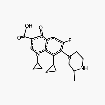 CC1CN(c2c(F)cc3c(=O)c(C(=O)O)cn(C4CC4)c3c2C2CC2)CCN1